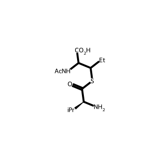 CCC(SC(=O)[C@@H](N)C(C)C)C(NC(C)=O)C(=O)O